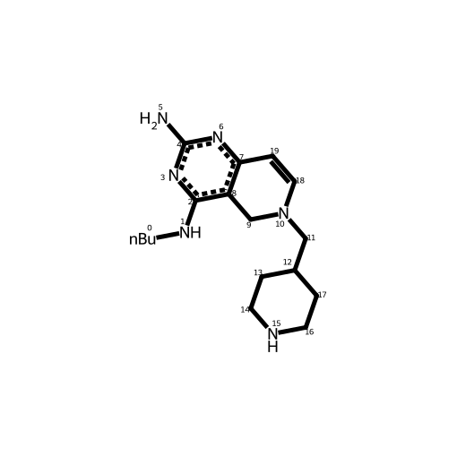 CCCCNc1nc(N)nc2c1CN(CC1CCNCC1)C=C2